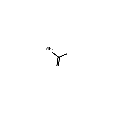 C=C(C)C.[AlH3]